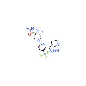 NC(=O)C1(N)CCN(c2ccc(C(F)(F)F)c(-c3n[nH]c4ncccc34)n2)CC1